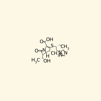 CC[C@H](Cn1cncn1)SC1=C(C(=O)O)N2C(=O)[C@H]([C@@H](C)O)[C@H]2[C@H]1C